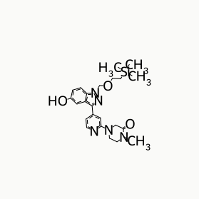 CN1CCN(c2cc(-c3nn(COCC[Si](C)(C)C)c4ccc(O)cc34)ccn2)CC1=O